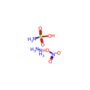 N.N.NS(=O)(=O)O.O=[N+]([O-])O